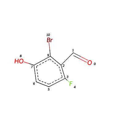 O=Cc1c(F)ccc(O)c1Br